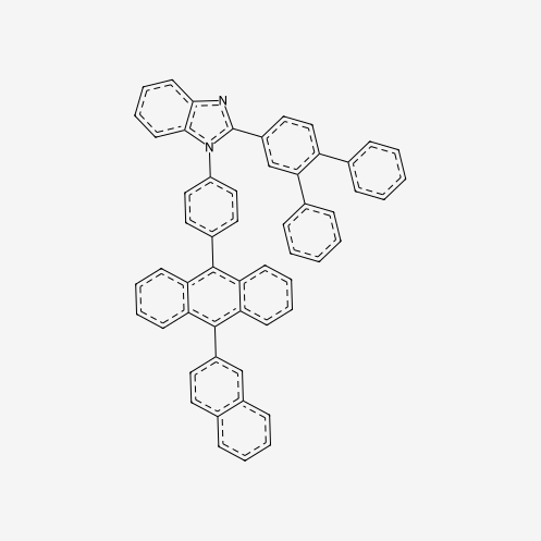 c1ccc(-c2ccc(-c3nc4ccccc4n3-c3ccc(-c4c5ccccc5c(-c5ccc6ccccc6c5)c5ccccc45)cc3)cc2-c2ccccc2)cc1